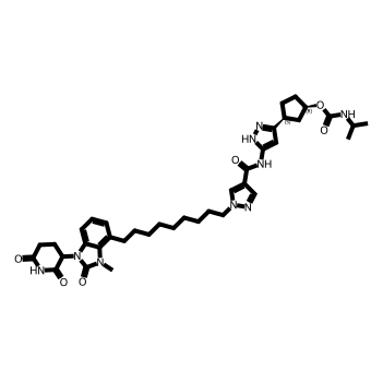 CC(C)NC(=O)O[C@@H]1CC[C@H](c2cc(NC(=O)c3cnn(CCCCCCCCCc4cccc5c4n(C)c(=O)n5C4CCC(=O)NC4=O)c3)[nH]n2)C1